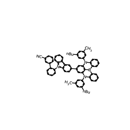 CCCCc1cc(C)cc(N2c3ccccc3B3c4ccccc4N(c4cc(C)cc(CCCC)c4)c4cc(-c5ccc6c(c5)c5ccccc5n6-c5ccccc5-c5cccc(C#N)c5)cc2c43)c1